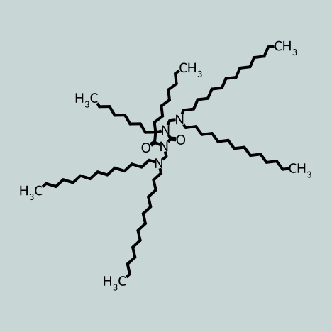 CCCCCCCCCCCCCCN(CCCCCCCCCCCCCC)CN1C(=O)N(CN(CCCCCCCCCCCCCC)CCCCCCCCCCCCCC)C(CCCCCCCC)(CCCCCCCC)C1=O